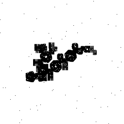 CCOC(=O)c1ccc(NC(=O)N2CCC(Nc3nc(NC4CCC(N)CC4)nc4c3ncn4C3CCCC3)CC2)cc1.Cl.Cl